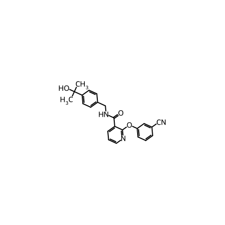 CC(C)(O)c1ccc(CNC(=O)c2cccnc2Oc2cccc(C#N)c2)cc1